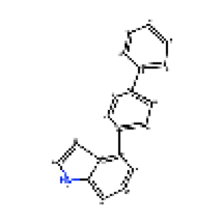 c1ccc(-c2ccc(-c3cccc4[nH]ccc34)cc2)cc1